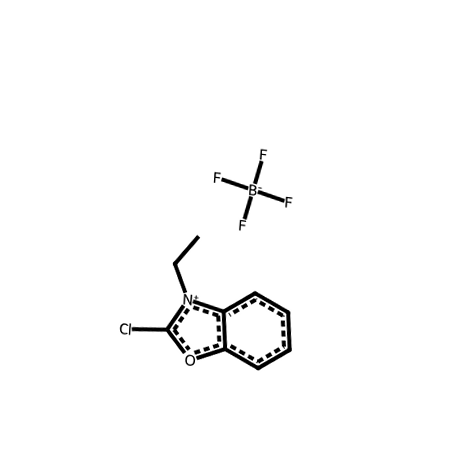 CC[n+]1c(Cl)oc2ccccc21.F[B-](F)(F)F